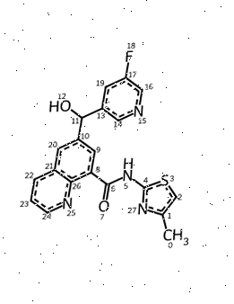 Cc1csc(NC(=O)c2cc(C(O)c3cncc(F)c3)cc3cccnc23)n1